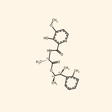 COc1ccnc(C(=O)N[C@@H](C)C(=O)O[C@H](C)[C@@H](C)c2ccccc2C)c1O